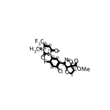 COC(=O)C12CCOC1C(c1cc(-n3c(=O)cc(C(F)(F)F)n(C)c3=O)c(F)cc1Cl)=NO2